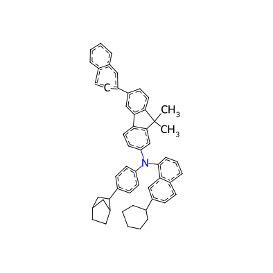 CC1(C)c2ccc(-c3ccc4ccccc4c3)cc2-c2ccc(N(c3ccc(C4CC5CCC4C5)cc3)c3cccc4ccc(C5CCCCC5)cc34)cc21